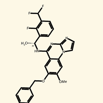 COc1cc2c(cc1OCc1ccccc1)c(N[C@H](C)c1cccc(C(F)F)c1F)nc1nccn12